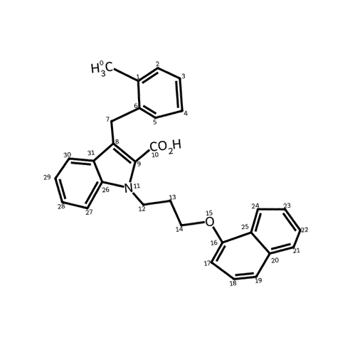 Cc1ccccc1Cc1c(C(=O)O)n(CCCOc2cccc3ccccc23)c2ccccc12